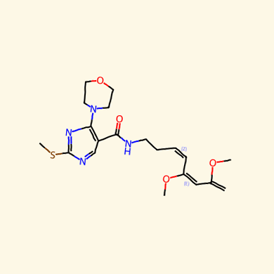 C=C(/C=C(\C=C/CCNC(=O)c1cnc(SC)nc1N1CCOCC1)OC)OC